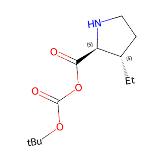 CC[C@H]1CCN[C@@H]1C(=O)OC(=O)OC(C)(C)C